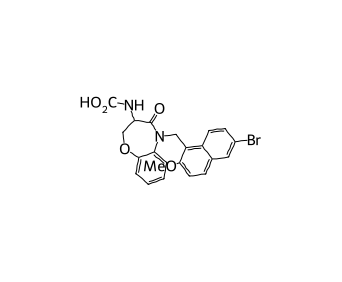 COc1ccc2cc(Br)ccc2c1CN1C(=O)C(NC(=O)O)COc2ccccc21